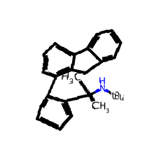 CC(C)(C)NC(C)(C)c1ccccc1-c1cccc2c1Cc1ccccc1-2